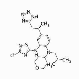 CC(C)CN(c1ccc([C@H](C)Cc2nnn[nH]2)cc1Nc1nc(Cl)ns1)C1CCOCC1